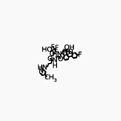 Cc1ccnc(NCCCC(=O)NCC(=O)NC(CC(=O)O)c2cccc(-c3ccc(F)cc3O)c2)c1.O=C(O)C(F)(F)F